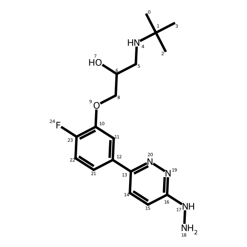 CC(C)(C)NCC(O)COc1cc(-c2ccc(NN)nn2)ccc1F